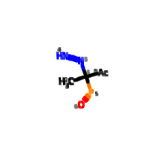 CC(=O)C(C)(N=N)P=O